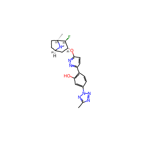 Cc1nnn(-c2ccc(-c3ccc(O[C@@H]4C[C@H]5CC[C@@](C)([C@H]4F)N5C)nn3)c(O)c2)n1